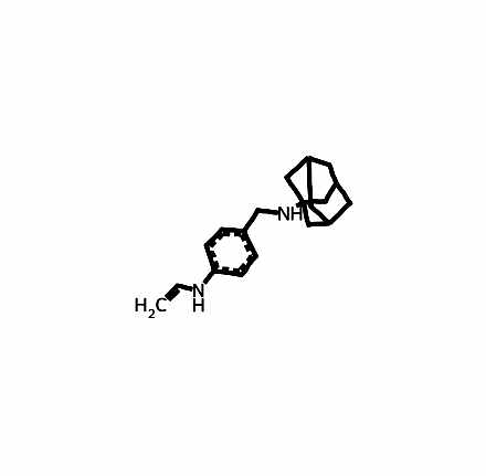 C=CNc1ccc(CNC23CC4CC(CC(C4)C2)C3)cc1